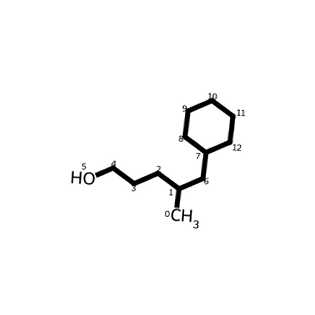 CC(CCCO)CC1CCCCC1